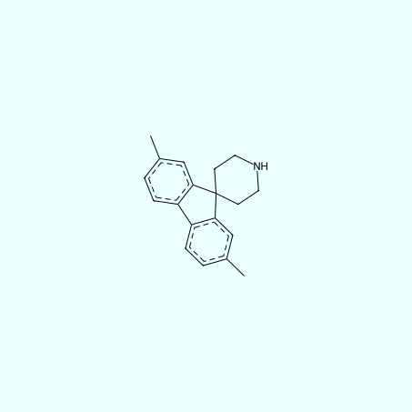 Cc1ccc2c(c1)C1(CCNCC1)c1cc(C)ccc1-2